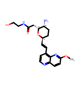 COc1ccc2nccc(/C=C/[C@@H]3CC[C@@H](N)[C@@H](CC(=O)NCCO)O3)c2n1